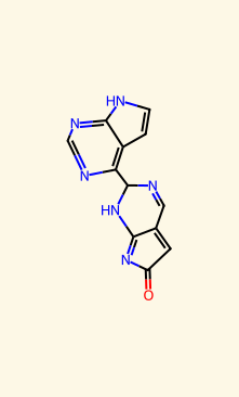 O=C1C=C2C=NC(c3ncnc4[nH]ccc34)NC2=N1